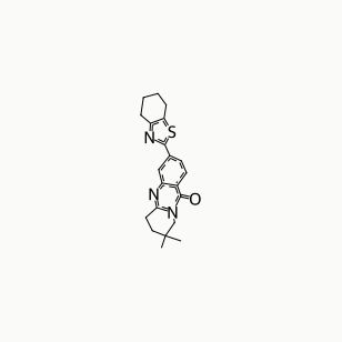 CC1(C)CCc2nc3cc(-c4nc5c(s4)CCCC5)ccc3c(=O)n2C1